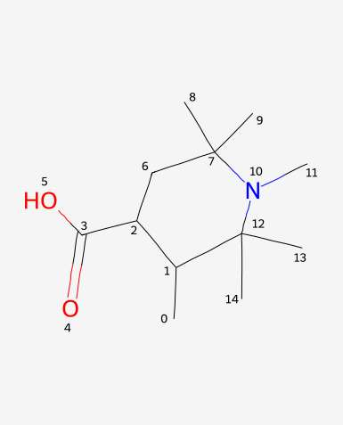 CC1C(C(=O)O)CC(C)(C)N(C)C1(C)C